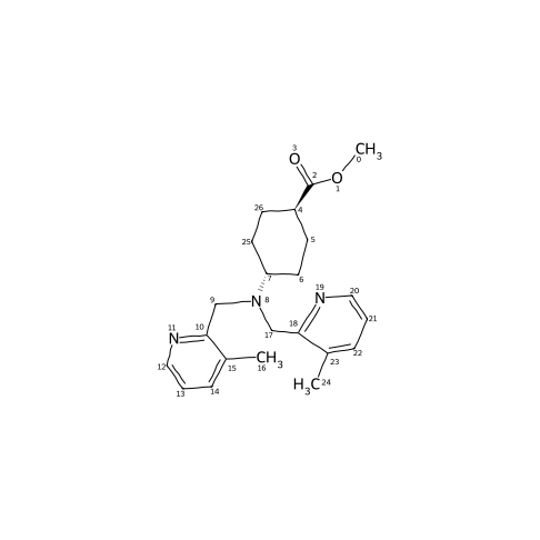 COC(=O)[C@H]1CC[C@H](N(Cc2ncccc2C)Cc2ncccc2C)CC1